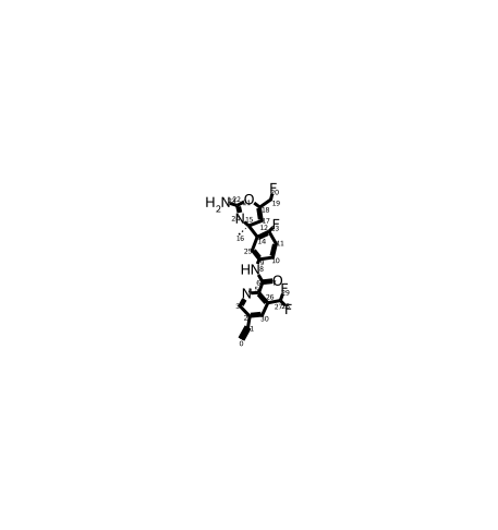 C#Cc1cnc(C(=O)Nc2ccc(F)c([C@]3(C)C=C(CF)OC(N)=N3)c2)c(C(F)F)c1